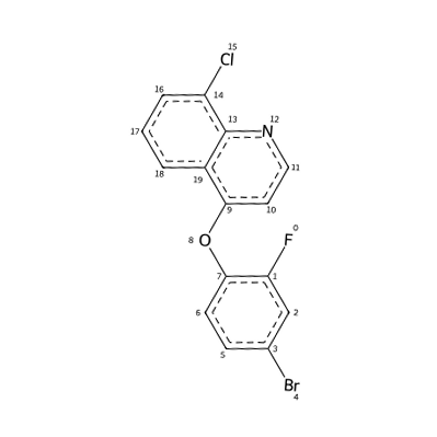 Fc1cc(Br)ccc1Oc1ccnc2c(Cl)cccc12